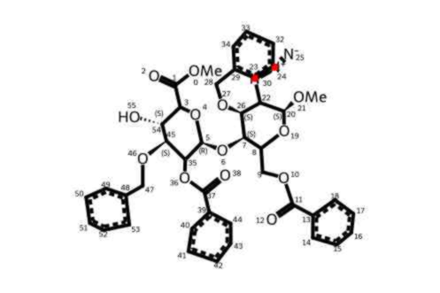 COC(=O)C1O[C@@H](O[C@@H]2C(COC(=O)c3ccccc3)O[C@H](OC)C(N=[N+]=[N-])[C@@H]2OCc2ccccc2)C(OC(=O)c2ccccc2)[C@@H](OCc2ccccc2)[C@@H]1O